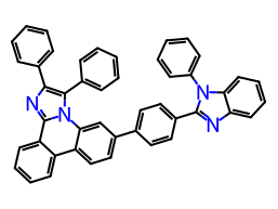 c1ccc(-c2nc3c4ccccc4c4ccc(-c5ccc(-c6nc7ccccc7n6-c6ccccc6)cc5)cc4n3c2-c2ccccc2)cc1